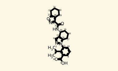 CC(C)c1c(C(=O)O)cccc1-n1ncc2c1CCC[C@H]2NC(=O)c1noc2c1CCCC2